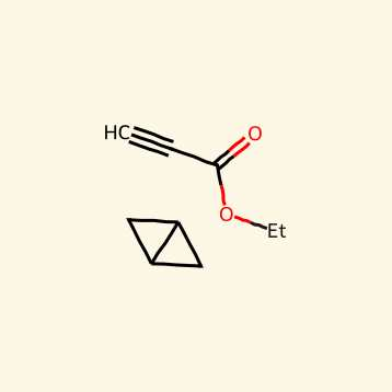 C#CC(=O)OCC.C1C2CC12